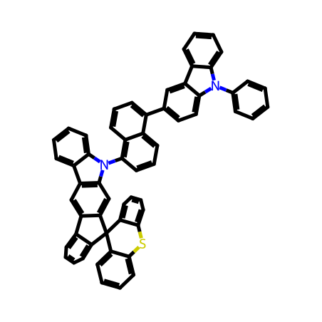 c1ccc(-n2c3ccccc3c3cc(-c4cccc5c(-n6c7ccccc7c7cc8c(cc76)C6(c7ccccc7Sc7ccccc76)c6ccccc6-8)cccc45)ccc32)cc1